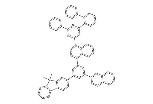 CC1(C)c2ccccc2-c2ccc(-c3cc(-c4ccc5ccccc5c4)cc(-c4ccc(-c5cc(-c6ccccc6-c6ccccc6)nc(-c6ccccc6)n5)c5ccccc45)c3)cc21